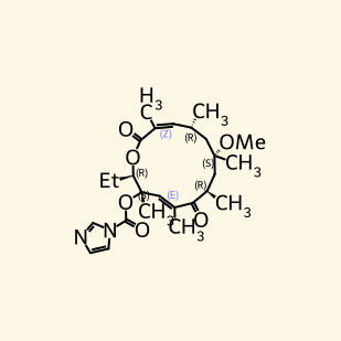 CC[C@H]1OC(=O)/C(C)=C\[C@H](C)C[C@](C)(OC)C[C@@H](C)C(=O)/C(C)=C/[C@]1(C)OC(=O)n1ccnc1